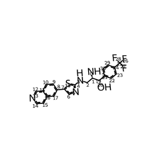 N[C@H](CNc1ncc(-c2ccc3cnccc3c2)s1)[C@@H](O)c1ccc(C(F)(F)F)cc1